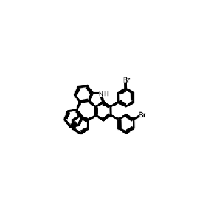 Brc1cccc(-c2cc(-c3ccccc3)c3c([nH]c4cccc(-c5ccccc5)c43)c2-c2cccc(Br)c2)c1